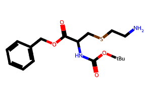 CC(C)(C)OC(=O)NC(CSCCN)C(=O)OCc1ccccc1